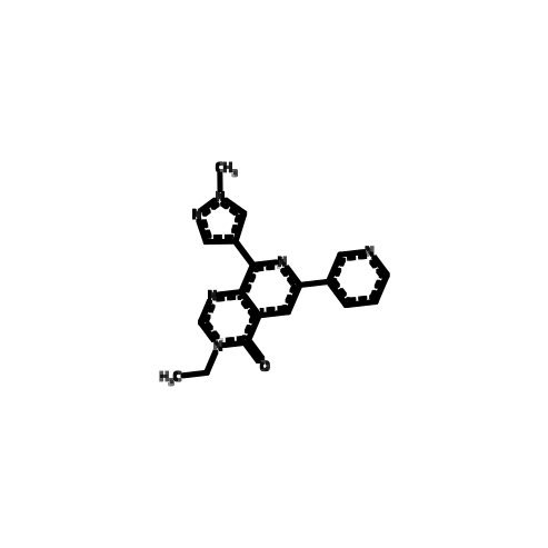 CCn1cnc2c(-c3cnn(C)c3)nc(-c3cccnc3)cc2c1=O